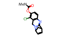 CNC(=O)Oc1ccc2c(c1Cl)CN1C(=N2)C2C=CC1C2